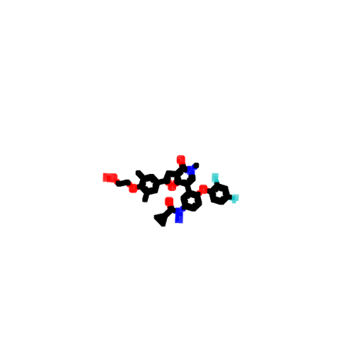 Cc1cc(-c2cc3c(=O)n(C)cc(-c4cc(NC(=O)C5CC5)ccc4Oc4ccc(F)cc4F)c3o2)cc(C)c1OCCO